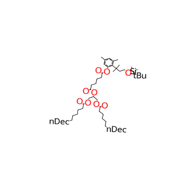 CCCCCCCCCCCCCCCC(=O)OCC(COC(=O)CCCCCCCCCCCCCCC)OC(=O)CCCCC(=O)Oc1cc(C)cc(C)c1C(C)(C)CCO[Si](C)(C)C(C)(C)C